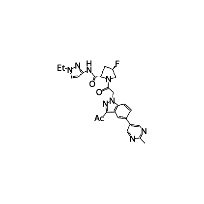 CCn1ccc(NC(=O)[C@@H]2C[C@@H](F)CN2C(=O)Cn2nc(C(C)=O)c3cc(-c4cnc(C)nc4)ccc32)n1